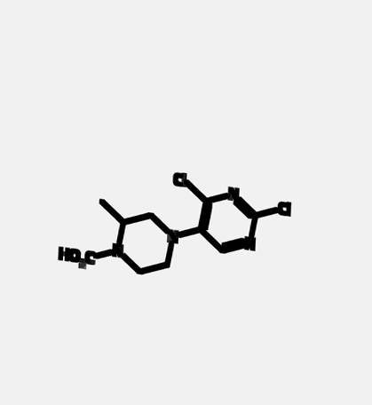 CC1CN(c2cnc(Cl)nc2Cl)CCN1C(=O)O